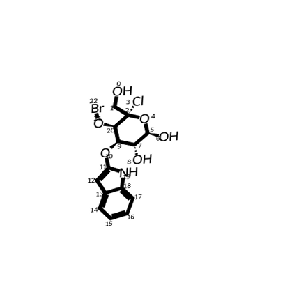 OC[C@@]1(Cl)O[C@@H](O)[C@H](O)[C@@H](Oc2cc3ccccc3[nH]2)[C@H]1OBr